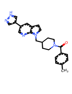 Cc1ccc(C(=O)N2CCC(Cn3ccc4cc(-c5cn[nH]c5)cnc43)CC2)cc1